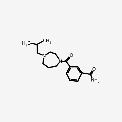 CC(C)CN1CCCN(C(=O)c2cccc(C(N)=O)c2)CC1